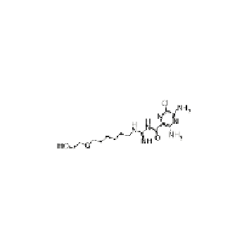 N=C(NCCCCCCOCCO)NC(=O)c1nc(Cl)c(N)nc1N